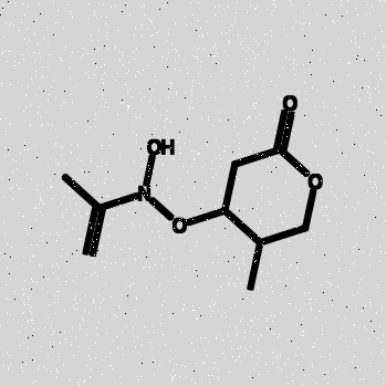 C=C(C)N(O)OC1CC(=O)OCC1C